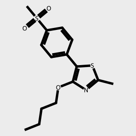 CCCCOc1nc(C)sc1-c1ccc(S(C)(=O)=O)cc1